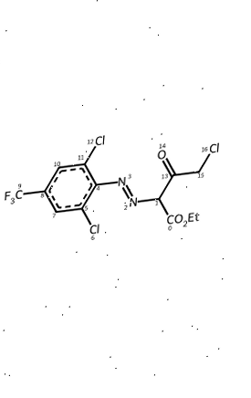 CCOC(=O)C(N=Nc1c(Cl)cc(C(F)(F)F)cc1Cl)C(=O)CCl